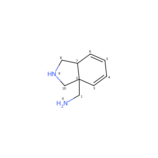 NCC12C=CC=CC1CNC2